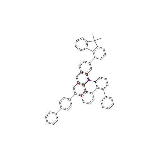 CC1(C)c2ccccc2-c2c(-c3cccc(N(c4ccc(-c5ccc(-c6ccccc6)cc5)cc4)c4cccc(-c5ccccc5)c4-c4ccccc4-c4ccccc4)c3)cccc21